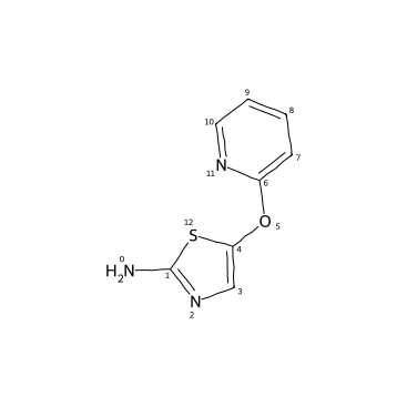 Nc1ncc(Oc2ccccn2)s1